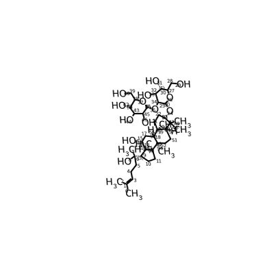 CC(C)=CCCC(C)(O)[C@H]1CC[C@]2(C)[C@@H]1[C@H](O)C[C@@H]1[C@@]3(C)CC[C@H](O[C@@H]4OC(CO)[C@@H](O)C(O)C4O[C@@H]4OC(CO)[C@@H](O)C(O)C4O)C(C)(C)[C@@H]3CC[C@]12C